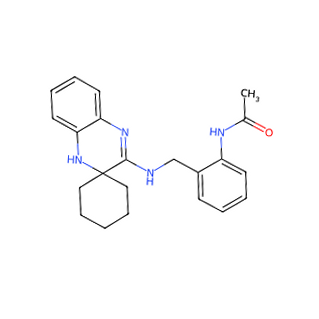 CC(=O)Nc1ccccc1CNC1=Nc2ccccc2NC12CCCCC2